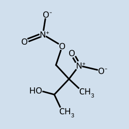 CC(O)C(C)(CO[N+](=O)[O-])[N+](=O)[O-]